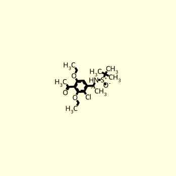 CCOc1cc([C@@H](C)N[S+]([O-])C(C)(C)C)c(Cl)c(OCC)c1C(C)=O